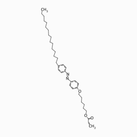 C=CC(=O)OCCCCCCOc1ccc(/N=N/c2ccc(CCCCCCCCCCCCCCCC)cc2)cc1